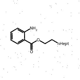 CCCCCCCCCOC(=O)c1ccccc1N